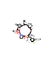 CCC1/C=C(\C)CC(C)CC(OC)C2OC(O)(C(=O)C(=O)N3CCCCC3C(=O)OC(C(C)=CC3CCC(F)C(OC)C3)C(C)CCC1=O)C(C)CC2OC